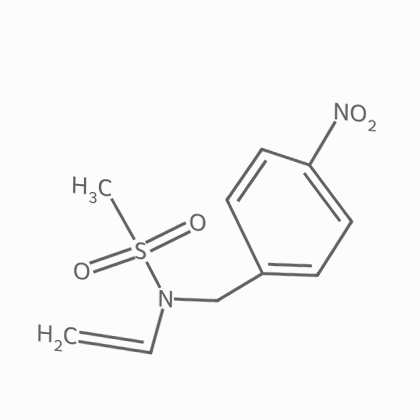 C=CN(Cc1ccc([N+](=O)[O-])cc1)S(C)(=O)=O